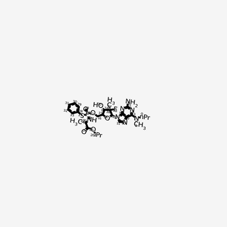 CCCN(C)c1nc(N)nc2c1ncn2[C@@H]1OC(COP(=O)(N[C@@H](C)C(=O)OC(C)C)Sc2ccccc2)[C@@H](O)[C@@]1(C)F